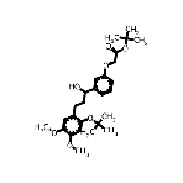 COc1cc(CCC(O)c2cccc(OCC(=O)OC(C)(C)C)c2)c(OC(C)(C)C)cc1OC